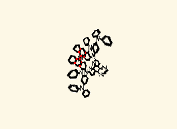 c1ccc(N(c2ccccc2)c2ccc3c(c2)N(c2ccccc2)c2cc(N(c4ccccc4)c4ccccc4)ccc2N3c2ccc3c4nccnc4c4ccc(N5c6ccc(N(c7ccccc7)c7ccccc7)cc6N(c6ccccc6)c6cc(N(c7ccccc7)c7ccccc7)ccc65)nc4c3n2)cc1